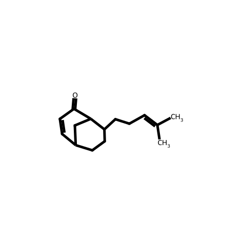 CC(C)=CCCC1CCC2C=CC(=O)C1C2